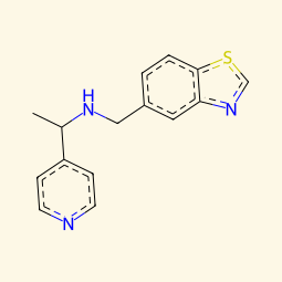 CC(NCc1ccc2scnc2c1)c1ccncc1